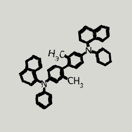 Cc1cc(N(C2=C3C=CCCC3=CCC2)c2ccccc2)ccc1-c1ccc(N(C2CCCCC2)C2CC=Cc3ccccc32)cc1C